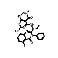 CC[C@H](Nc1nc(N)nc2c1C(=O)N(C)CN2)c1nc2cccc(F)c2c(=O)n1-c1ccccc1